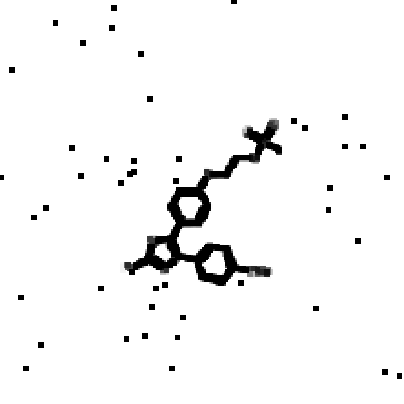 COc1ccc(-c2nc(C(C)C)oc2-c2ccc(OCCOS(C)(=O)=O)cc2)cc1